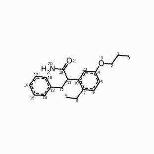 CCCOc1ccc(CC)c(C(Cc2ccccc2)C(N)=O)c1